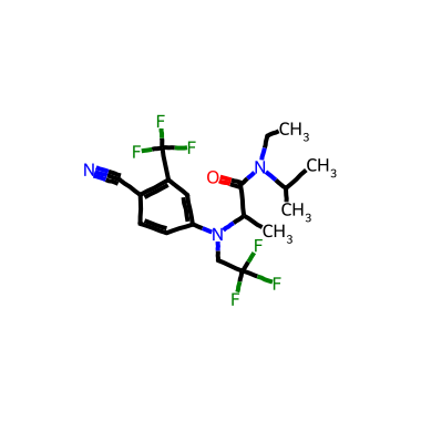 CCN(C(=O)C(C)N(CC(F)(F)F)c1ccc(C#N)c(C(F)(F)F)c1)C(C)C